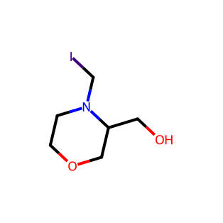 OCC1COCCN1CI